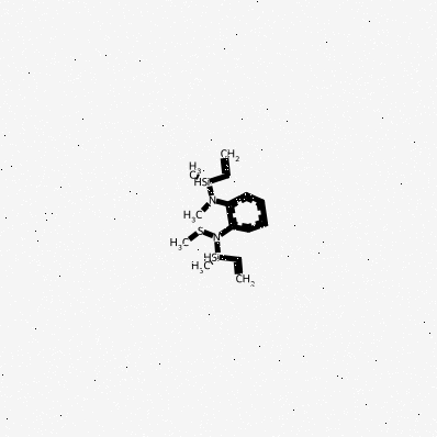 C=C[SiH](C)N(C)c1ccccc1N(SC)[SiH](C)C=C